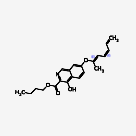 C=C/C=C\C=C(/C)Oc1ccc2c(O)c(C(=O)OCCCC)ncc2c1